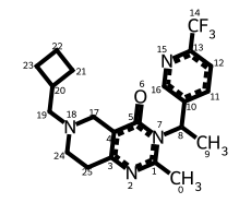 Cc1nc2c(c(=O)n1C(C)c1ccc(C(F)(F)F)nc1)CN(CC1CCC1)CC2